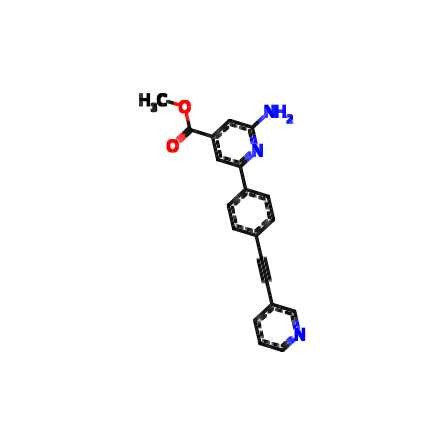 COC(=O)c1cc(N)nc(-c2ccc(C#Cc3cccnc3)cc2)c1